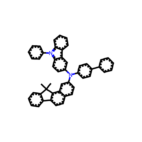 CC1(C)c2ccccc2-c2ccc3ccc(N(c4ccc(-c5ccccc5)cc4)c4ccc5c(c4)c4ccccc4n5-c4ccccc4)cc3c21